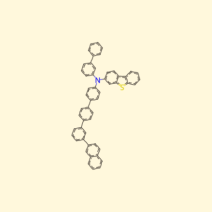 c1ccc(-c2cccc(N(c3ccc(-c4ccc(-c5cccc(-c6ccc7ccccc7c6)c5)cc4)cc3)c3ccc4c(c3)sc3ccccc34)c2)cc1